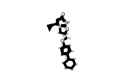 O=c1cc(C2CC2)n2c(n1)O[C@H](COc1ccc(C3CCCCC3)cc1)C2